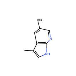 CCC(C)c1cnc2[nH]cc(C)c2c1